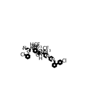 CN(C)CC[C@H](CSc1ccccc1Cl)Nc1ccc(S(=O)(=O)Nc2nc(C(F)(F)F)nc3c2CCN(C2CCN(Cc4ccccc4-c4ccc(Cl)cc4)CC2)C3)cc1S(=O)(=O)C(F)(F)F